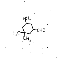 CC1(C)CC(N)CC(C=O)C1